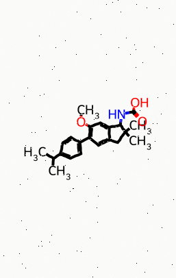 COc1cc2c(cc1-c1ccc(C(C)C)cc1)CC(C)(C)C2NC(=O)O